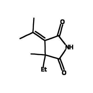 CCC1(C)C(=O)NC(=O)C1=C(C)C